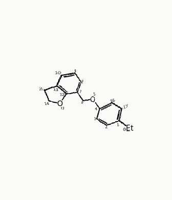 CCc1ccc(OCc2cccc3c2OCC3)cc1